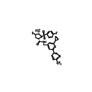 C[C@H]1[C@H](F)C[C@@H](C(=O)NCc2cc(-c3cnc(C(F)(F)F)nc3)nc(C3CC3)c2)N1S(=O)(=O)c1ccc(F)cc1